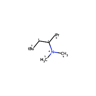 CC(C)C(CC(C)(C)C)N(C)C